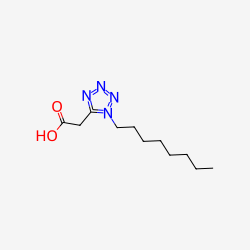 CCCCCCCCn1nnnc1CC(=O)O